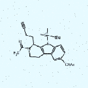 C#CCCC1c2c(c3cc(OC)ccc3n2[Si](C)(C)C(C)(C)C)CCN1C(=O)C(F)(F)F